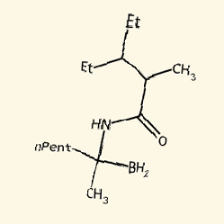 BC(C)(CCCCC)NC(=O)C(C)C(CC)CC